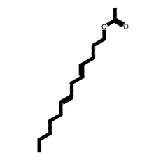 CCCCC/C=C/C/C=C/CCCOC(C)=O